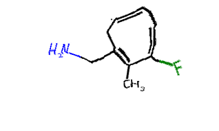 Cc1c(CN)[c]ccc1F